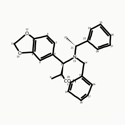 CC(C(=O)O)[C@@H](c1ccc2c(c1)OCO2)N(Cc1ccccc1)[C@H](C)c1ccccc1